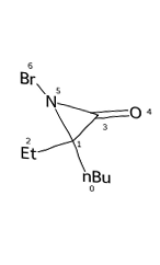 CCCCC1(CC)C(=O)N1Br